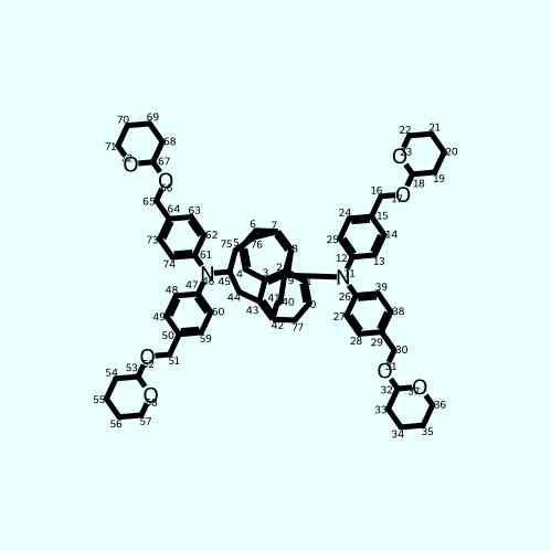 C1=CC2=C3C=CCC4=C2CC(N(c2ccc(COC5CCCCO5)cc2)c2ccc(COC5CCCCO5)cc2)CCC(=C3CC(N(c2ccc(COC3CCCCO3)cc2)c2ccc(COC3CCCCO3)cc2)CC4)C1